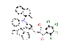 Cc1ccc2ccccc2c1N1c2ccccc2C2(c3ccccc3-c3ccccc32)c2cc(C=C3C(=O)c4c(Cl)c(Cl)c(Cl)c(Cl)c4C3=O)ccc21